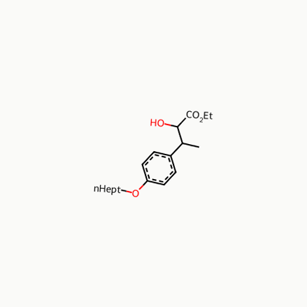 CCCCCCCOc1ccc(C(C)C(O)C(=O)OCC)cc1